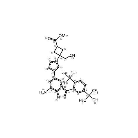 [2H]C([2H])([2H])c1ccc(C(C)(O)C(F)(F)F)cc1-c1cnc2c(N)nc(-c3cnn(C4(CC#N)CC(C(=O)OC)C4)c3)cn12